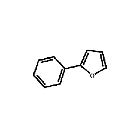 [c]1cccc(-c2ccco2)c1